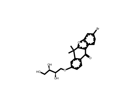 CC1(C)c2cc(OC[C@@H](O)[C@H](O)CO)ccc2C(=O)c2c1oc1cc(Br)ccc21